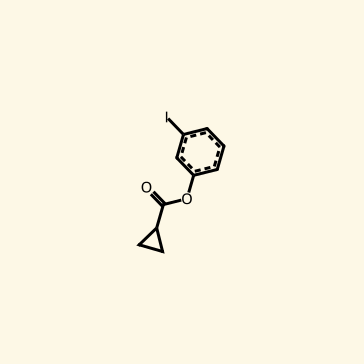 O=C(Oc1cccc(I)c1)C1CC1